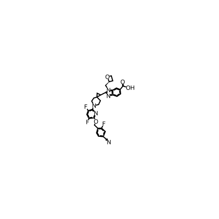 N#Cc1ccc(COc2nc(N3CCC4(CC3)CC4c3nc4ccc(C(=O)O)cc4n3C[C@@H]3CCO3)c(F)cc2F)c(F)c1